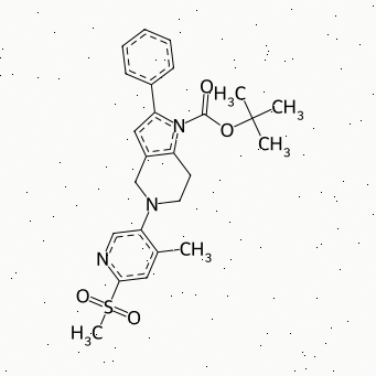 Cc1cc(S(C)(=O)=O)ncc1N1CCc2c(cc(-c3ccccc3)n2C(=O)OC(C)(C)C)C1